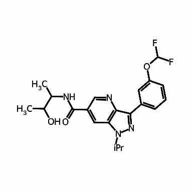 CC(O)C(C)NC(=O)c1cnc2c(-c3cccc(OC(F)F)c3)nn(C(C)C)c2c1